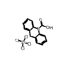 O=C(O)N1c2ccccc2Cc2ccccc21.[Cl][Zr]([Cl])([Cl])[Cl]